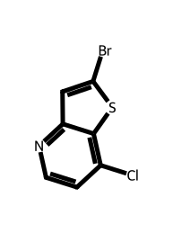 Clc1ccnc2cc(Br)sc12